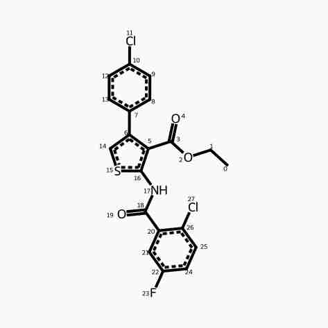 CCOC(=O)c1c(-c2ccc(Cl)cc2)csc1NC(=O)c1cc(F)ccc1Cl